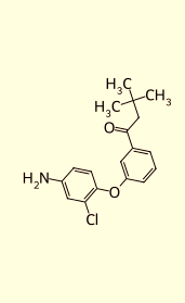 CC(C)(C)CC(=O)c1cccc(Oc2ccc(N)cc2Cl)c1